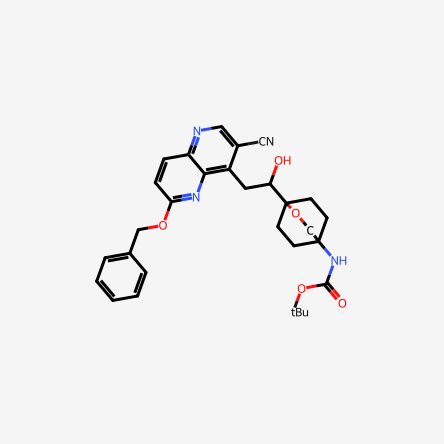 CC(C)(C)OC(=O)NC12CCC(C(O)Cc3c(C#N)cnc4ccc(OCc5ccccc5)nc34)(CC1)OC2